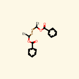 CCC(OC(=O)c1ccccc1)SSC(CC)OC(=O)c1ccccc1